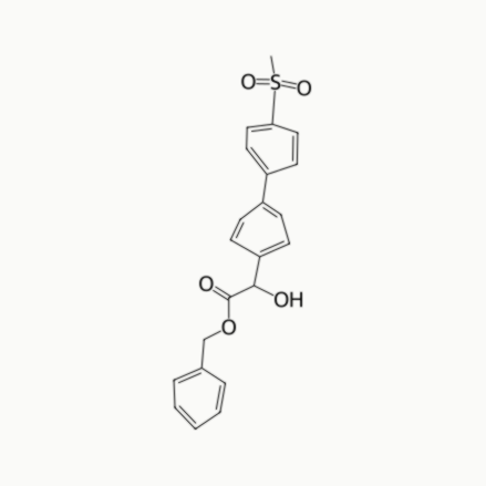 CS(=O)(=O)c1ccc(-c2ccc(C(O)C(=O)OCc3ccccc3)cc2)cc1